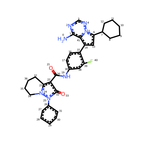 Nc1ncnn2c(C3CCCCC3)cc(-c3ccc(NC(=O)c4c5n(n(-c6ccccc6)c4=O)CCCC5)cc3F)c12